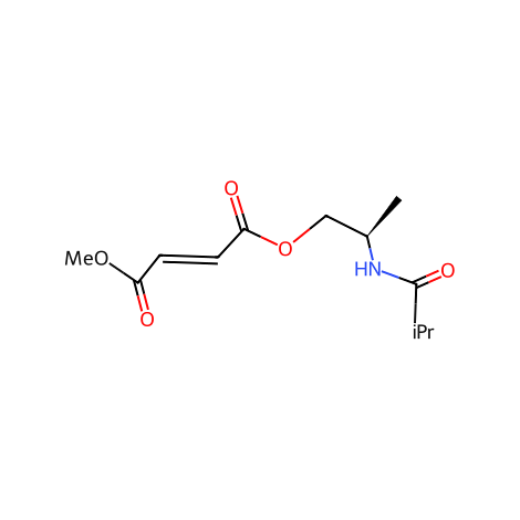 COC(=O)/C=C/C(=O)OC[C@@H](C)NC(=O)C(C)C